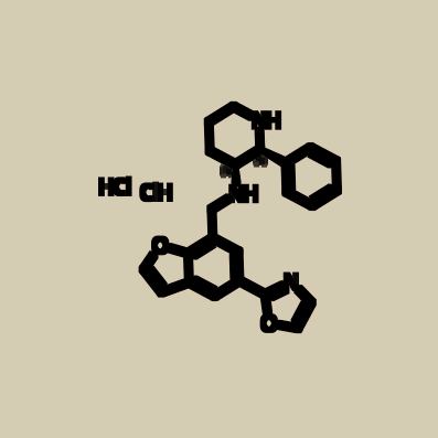 Cl.Cl.c1ccc([C@@H]2NCCC[C@@H]2NCc2cc(-c3ncco3)cc3ccoc23)cc1